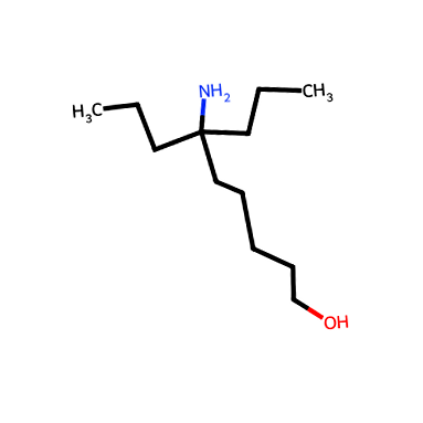 CCCC(N)(CCC)CCCCCO